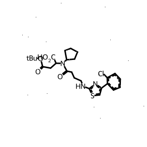 CC(C)(C)OC(=O)CC(C(=O)O)N(C(=O)CCCNc1nc(-c2ccccc2Cl)cs1)C1CCCC1